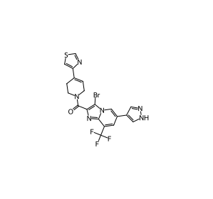 O=C(c1nc2c(C(F)(F)F)cc(-c3cn[nH]c3)cn2c1Br)N1CC=C(c2cscn2)CC1